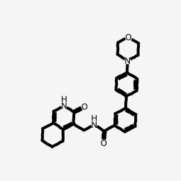 O=C(NCc1c2c(c[nH]c1=O)CCCC2)c1cccc(-c2ccc(N3CCOCC3)cc2)c1